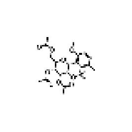 COc1ccc(C)cc1[C@@H]1OC(COC(C)=O)[C@@H](OC(C)=O)C(OC(C)=O)C1OC(C)=O